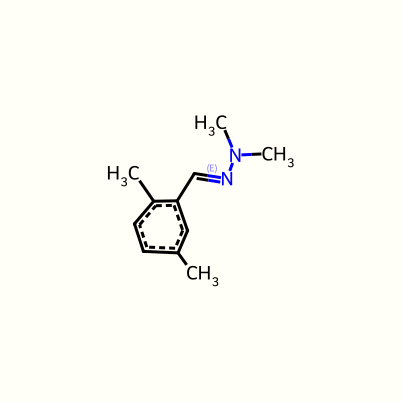 Cc1ccc(C)c(/C=N/N(C)C)c1